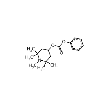 CN1C(C)(C)CC(OC(=O)Oc2ccccc2)CC1(C)C